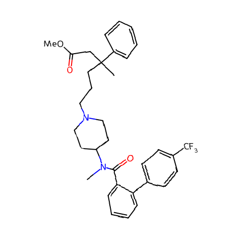 COC(=O)CC(C)(CCCN1CCC(N(C)C(=O)c2ccccc2-c2ccc(C(F)(F)F)cc2)CC1)c1ccccc1